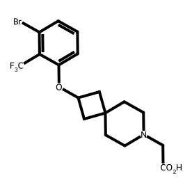 O=C(O)CN1CCC2(CC1)CC(Oc1cccc(Br)c1C(F)(F)F)C2